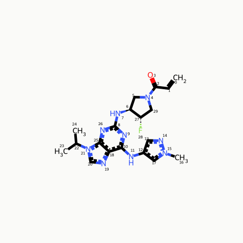 C=CC(=O)N1C[C@H](Nc2nc(Nc3cnn(C)c3)c3ncn(C(C)C)c3n2)[C@@H](F)C1